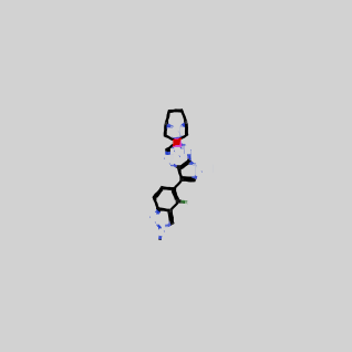 Cn1cc2c(Cl)c(-c3c[nH]c4nc(N5C6CCC5CC(N)C6)[c]nc34)ccc2n1